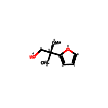 CO[C@@](C=O)(CO)c1ccco1